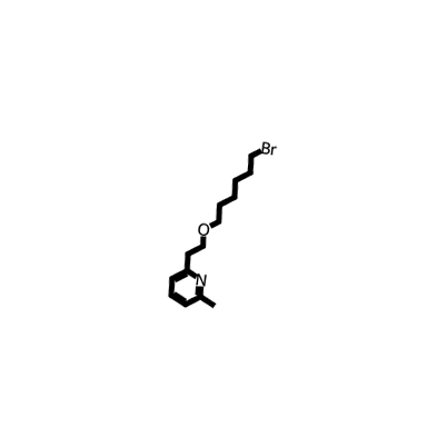 Cc1cccc(CCOCCCCCCBr)n1